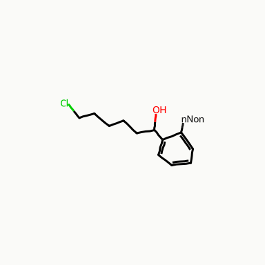 CCCCCCCCCc1ccccc1C(O)CCCCCCl